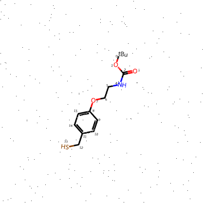 CC(C)(C)OC(=O)NCCOc1ccc(CS)cc1